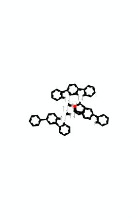 c1ccc(-c2ccc3c(c2)c2ccccc2n3-c2nc(-c3ccc4c(c3)oc3ccccc34)nc(-n3c4ccccc4c4ccc5c6ccccc6n(-c6ccccc6)c5c43)n2)cc1